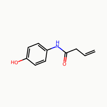 C=CCC(=O)Nc1ccc(O)cc1